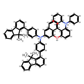 CC1(C)c2ccccc2-c2cccc(-c3ccc(N(c4ccc(-c5cccc6c5C(C)(C)c5ccccc5-6)cc4)c4cc5c6c(cccc6c4)-c4c(cccc4N(c4ccccc4)c4ccccc4)O5)cc3)c21